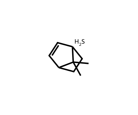 CC1(C)C2C=CC1CC2.S